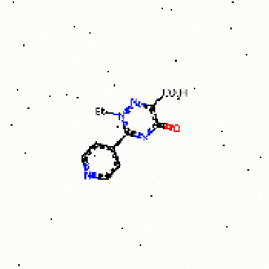 CCn1nc(C(=O)O)c(=O)nc1-c1ccncc1